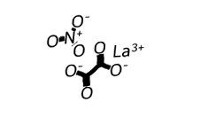 O=C([O-])C(=O)[O-].O=[N+]([O-])[O-].[La+3]